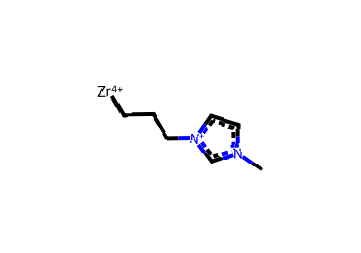 Cn1cc[n+](CC[CH2][Zr+4])c1